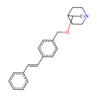 C(=Cc1ccc(COC2CN3CCC2CC3)cc1)c1ccccc1